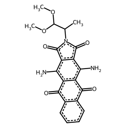 COC(OC)C(C)n1c(=O)c2c(N)c3c(=O)c4ccccc4c(=O)c3c(N)c2c1=O